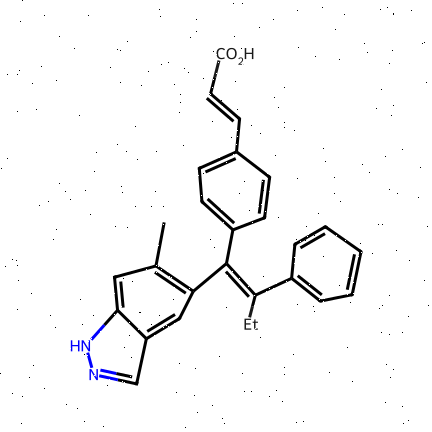 CC/C(=C(/c1ccc(/C=C/C(=O)O)cc1)c1cc2cn[nH]c2cc1C)c1ccccc1